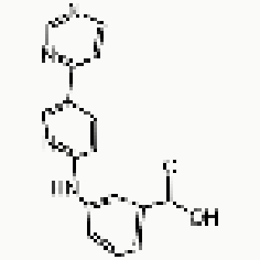 O=C(O)c1cccc(Nc2ccc(-c3ccncn3)cn2)c1